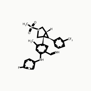 Cc1cc(Nc2ccc(F)cc2)c(C=N)cc1[C@@]12CN(S(C)(=O)=O)C[C@@H]1[C@H]2c1cccc(C(F)(F)F)c1